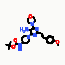 COc1ccc(/C=C/c2nc(N3CCOCC3)c(N)c(N3CCC(NC(=O)OC(C)(C)C)CC3)n2)cc1